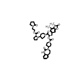 Cc1cc(C[C@@H](OC(=O)N2CCC(N3CCc4ccccc4NC3=O)CC2)C(=O)N2CCC(N3CCC[C@H]3C(=O)OCCN3CCCC3=O)CC2)cc2oc(=O)n(C)c12